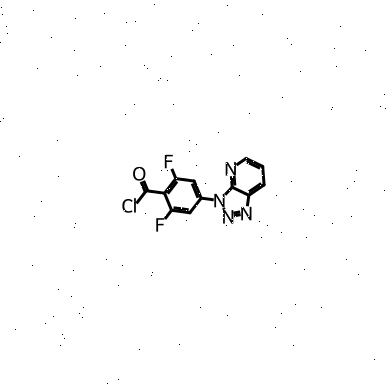 O=C(Cl)c1c(F)cc(-n2nnc3cccnc32)cc1F